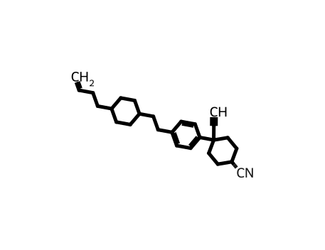 C#CC1(c2ccc(CCC3CCC(CCC=C)CC3)cc2)CCC(C#N)CC1